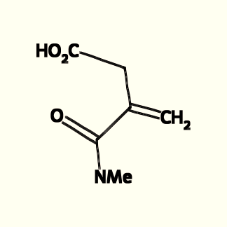 C=C(CC(=O)O)C(=O)NC